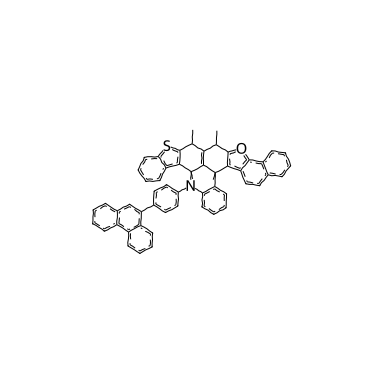 CC1C2=C3C(C)(c4ccccc4N(c4ccc(-c5cc6ccccc6c6ccccc56)cc4)C3(C)c3c(sc4ccccc34)C2C)c2c1oc1c2ccc2ccccc21